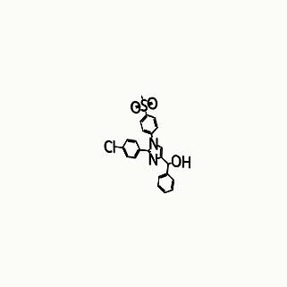 CS(=O)(=O)c1ccc(-n2cc(C(O)c3ccccc3)nc2-c2ccc(Cl)cc2)cc1